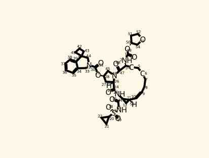 O=C(N[C@H]1CCCCC/C=C\[C@@H]2C[C@@]2(C(=O)NS(=O)(=O)C2CC2)NC(=O)[C@@H]2C[C@@H](OC(=O)N3Cc4ccccc4C4(CCC4)C3)CN2C1=O)O[C@@H]1CCOC1